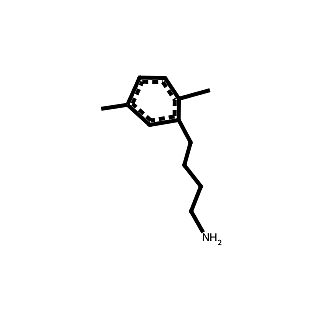 Cc1ccc(C)c(CCCCN)c1